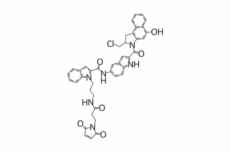 O=C(CCN1C(=O)C=CC1=O)NCCCn1c(C(=O)Nc2ccc3[nH]c(C(=O)N4c5cc(O)c6ccccc6c5CC4CCl)cc3c2)cc2ccccc21